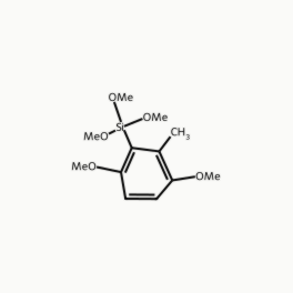 COc1ccc(OC)c([Si](OC)(OC)OC)c1C